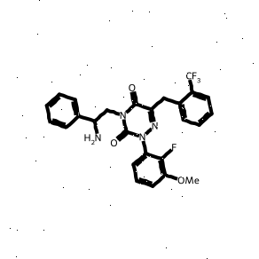 COc1cccc(-n2nc(Cc3ccccc3C(F)(F)F)c(=O)n(CC(N)c3ccccc3)c2=O)c1F